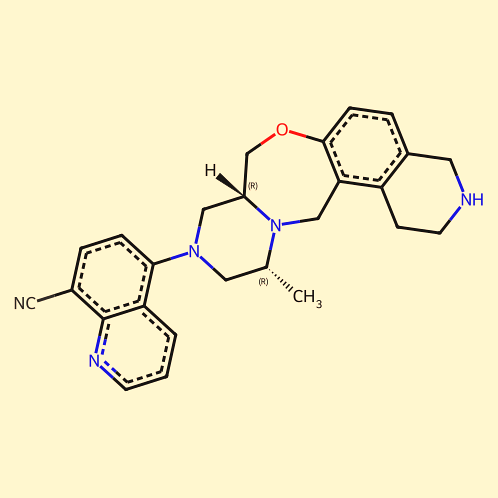 C[C@@H]1CN(c2ccc(C#N)c3ncccc23)C[C@@H]2COc3ccc4c(c3CN21)CCNC4